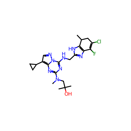 CC1CC(Cl)=C(F)c2nc(CNc3nc(N(C)CC(C)(C)O)nc4c(C5CC5)cnn34)[nH]c21